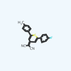 Cc1ccc(C2=CC(=C(C#N)C#N)C=C(c3ccc(F)cc3)S2)cc1